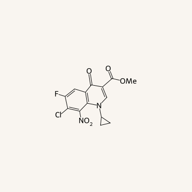 COC(=O)c1cn(C2CC2)c2c([N+](=O)[O-])c(Cl)c(F)cc2c1=O